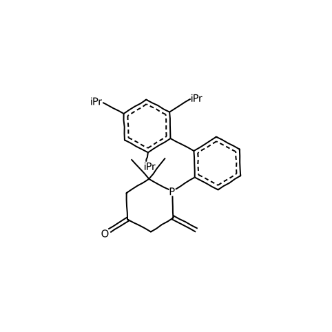 C=C1CC(=O)CC(C)(C)P1c1ccccc1-c1c(C(C)C)cc(C(C)C)cc1C(C)C